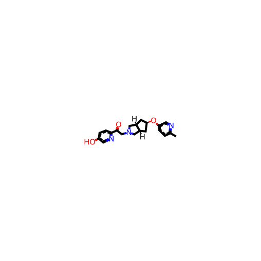 Cc1ccc(O[C@H]2C[C@@H]3CN(CC(=O)c4ccc(O)cn4)C[C@@H]3C2)cn1